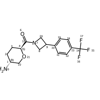 N[C@@H]1CC[C@@H](C(=O)N2CC(c3ccc(C(F)(F)F)cc3)C2)OC1